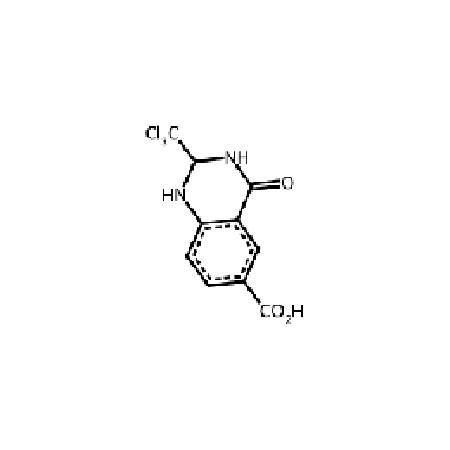 O=C(O)c1ccc2c(c1)C(=O)NC(C(Cl)(Cl)Cl)N2